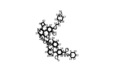 COc1cc(C(=O)NC2CCCCC2)ccc1-c1nccc(COc2ccccc2C[C@@H](Oc2nsc3cnc(C4CCC4)c(-c4ccc(OCCN5CCN(C)CC5)c(Cl)c4C)c23)C(=O)O)n1